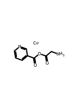 NCC(=O)OC(=O)c1cccnc1.[Cu]